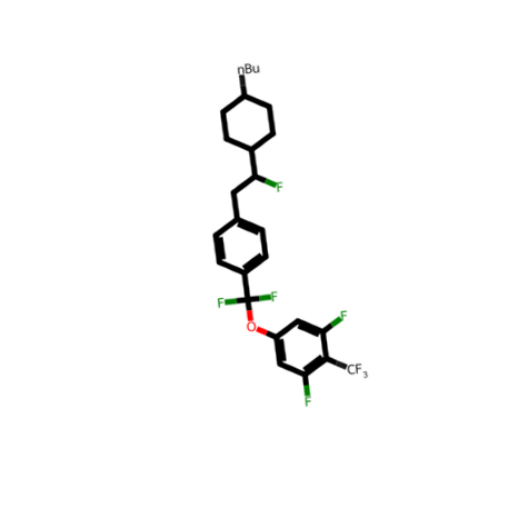 CCCCC1CCC(C(F)Cc2ccc(C(F)(F)Oc3cc(F)c(C(F)(F)F)c(F)c3)cc2)CC1